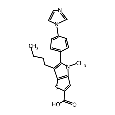 CCCCc1c(-c2ccc(-n3ccnc3)cc2)n(C)c2cc(C(=O)O)sc12